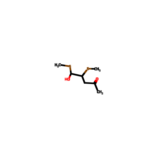 CSC(O)C(CC(C)=O)SC